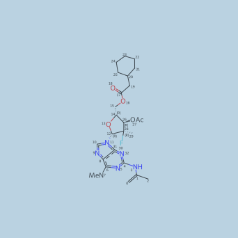 C=C(C)Nc1nc(NC)c2ncn([C@@H]3O[C@H](COC(=O)CC4CCCCC4)[C@@H](OC(C)=O)[C@@]3(C)F)c2n1